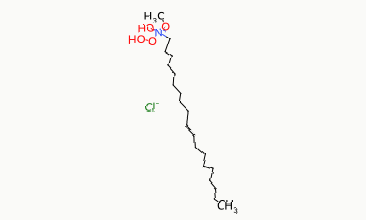 CCCCCCCCCCCCCCCCCCC[N+](O)(OC)OO.[Cl-]